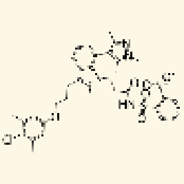 Cc1cc(OCCCc2c(C)n(CCC(=O)NS(=O)(=O)c3ccccc3[N+](=O)[O-])c3c(-c4c(C)nn(C)c4C)cccc23)cc(C)c1Cl